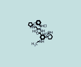 CCNc1cc(C(=O)N[C@@H](Cc2ccccc2)[C@@H](O)CNC2(C)CCCC2)cc(N2CCCCS2(O)O)c1.Cl